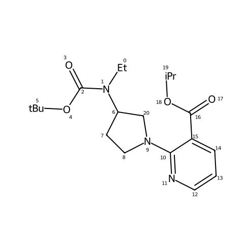 CCN(C(=O)OC(C)(C)C)C1CCN(c2ncccc2C(=O)OC(C)C)C1